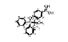 CC(C)(C)[Si](Oc1ccc(B(O)O)cc1)(c1ccccc1)c1ccccc1